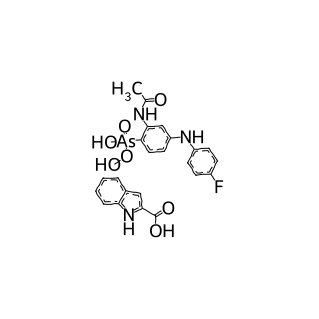 CC(=O)Nc1cc(Nc2ccc(F)cc2)ccc1[As](=O)(O)OO.O=C(O)c1cc2ccccc2[nH]1